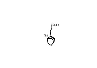 CCOC(=O)CCC1=CC2CCC1C2.[Sn]